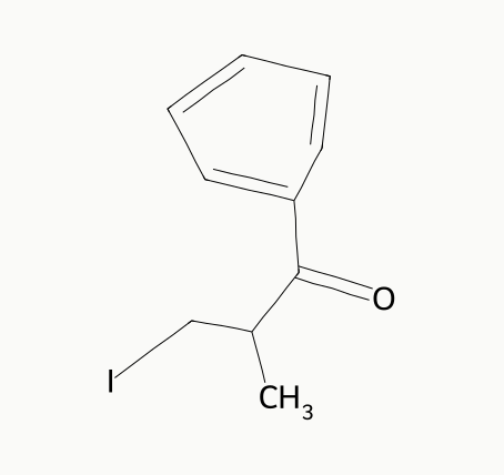 CC(CI)C(=O)c1ccccc1